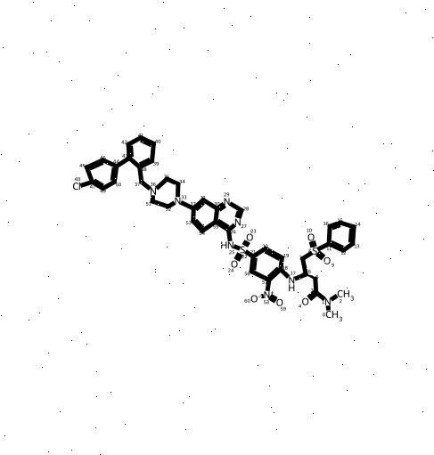 CN(C)C(=O)C[C@H](CS(=O)(=O)c1ccccc1)Nc1ccc(S(=O)(=O)Nc2ncnc3cc(N4CCN(Cc5ccccc5-c5ccc(Cl)cc5)CC4)ccc23)cc1[N+](=O)[O-]